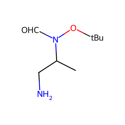 CC(CN)N(C=O)OC(C)(C)C